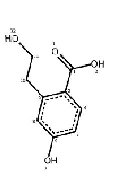 O=C(O)c1ccc(O)cc1CCO